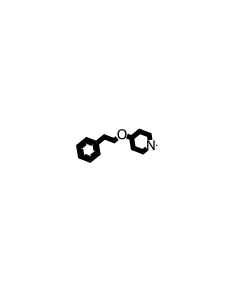 c1ccc(CCOC2CC[N]CC2)cc1